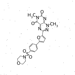 Cn1nc(-c2ccc(-c3ccc(S(=O)(=O)N4CCOCC4)cc3)o2)nc2c(=O)n(C)c(=O)nc1-2